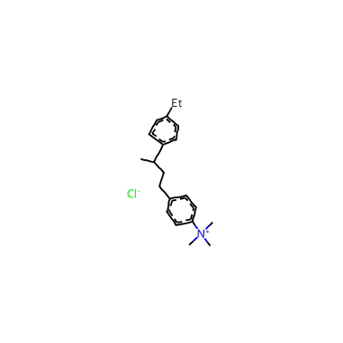 CCc1ccc(C(C)CCc2ccc([N+](C)(C)C)cc2)cc1.[Cl-]